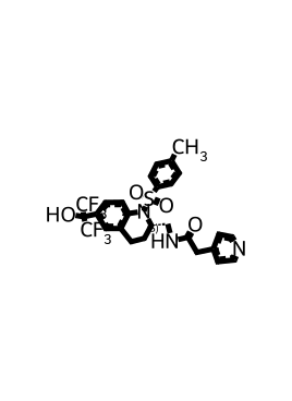 Cc1ccc(S(=O)(=O)N2c3ccc(C(O)(C(F)(F)F)C(F)(F)F)cc3CC[C@H]2CNC(=O)Cc2ccncc2)cc1